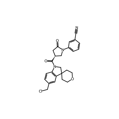 N#Cc1cccc(N2C[C@@H](C(=O)N3CC4(CCOCC4)c4cc(CCl)ccc43)CC2=O)c1